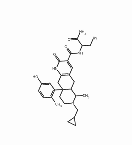 Cc1ccc(O)cc1C12CCN(CC3CC3)C(C)C1Cc1cc(C(=O)NC(CC(C)C)C(N)=O)c(=O)[nH]c1C2